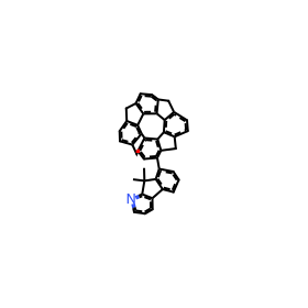 CC1(C)c2ncccc2-c2cccc(-c3cc4c5c6c3Cc3ccc7c(c3-6)-c3c(ccc6c3-c3c(ccc(c3-5)C4)C6)C7)c21